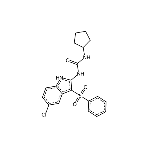 O=C(Nc1[nH]c2ccc(Cl)cc2c1S(=O)(=O)c1ccccc1)NC1CCCC1